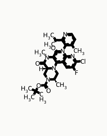 Cc1ccnc(C(C)C)c1-n1c(=O)c2c(c3cc(F)c(Cl)nc31)N1C[C@@H](C)N(C(=O)OC(C)(C)C)C[C@@H]1C(=O)N2C